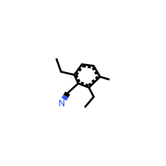 CCc1ccc(C)c(CC)c1C#N